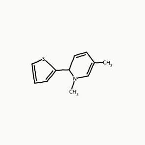 CC1=CN(C)C(c2cccs2)C=C1